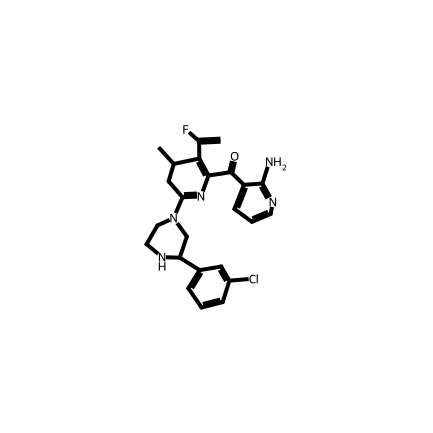 C=C(F)C1=C(C(=O)c2cccnc2N)N=C(N2CCNC(c3cccc(Cl)c3)C2)CC1C